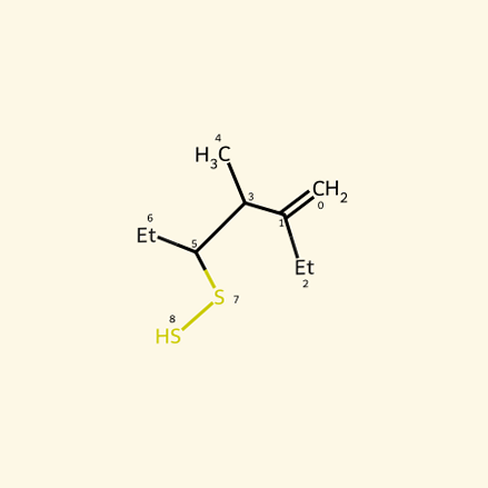 C=C(CC)C(C)C(CC)SS